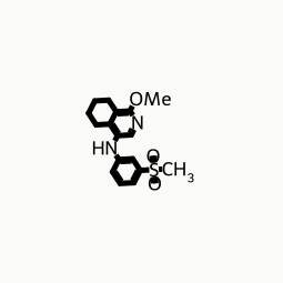 COc1ncc(Nc2cccc(S(C)(=O)=O)c2)c2c1CCCC2